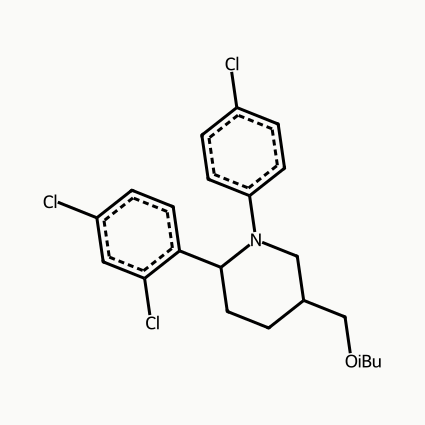 CC(C)COCC1CCC(c2ccc(Cl)cc2Cl)N(c2ccc(Cl)cc2)C1